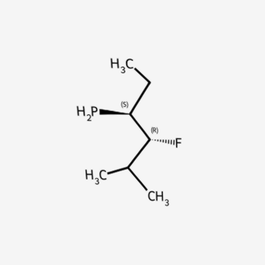 CC[C@H](P)[C@H](F)C(C)C